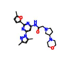 Cc1cc(C)n(-c2cc(NC(=O)CN3CCC(N4CCOCC4)C3)nc(-c3ccc(C)o3)n2)n1